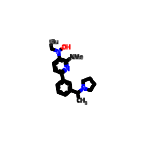 CNc1nc(-c2cccc(C(C)N3CCCC3)c2)ccc1N(O)CC(C)(C)C